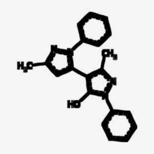 Cc1cc(-c2c(C)nn(-c3ccccc3)c2O)n(-c2ccccc2)n1